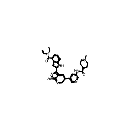 CCN(CC)C(=O)c1cccc2[nH]c(-c3n[nH]c4c3=CC(c3cncc(NC(=O)C5CCN(C)CC5)c3)CN=4)cc12